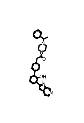 CC(c1ccccc1)N1CCN(C(=O)Cc2ccc(-c3cccc(-c4cc5ccncc5[nH]4)c3O)cc2)CC1